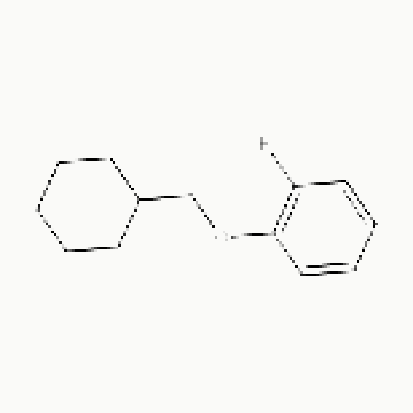 Fc1ccc[c]c1OCC1CCCCC1